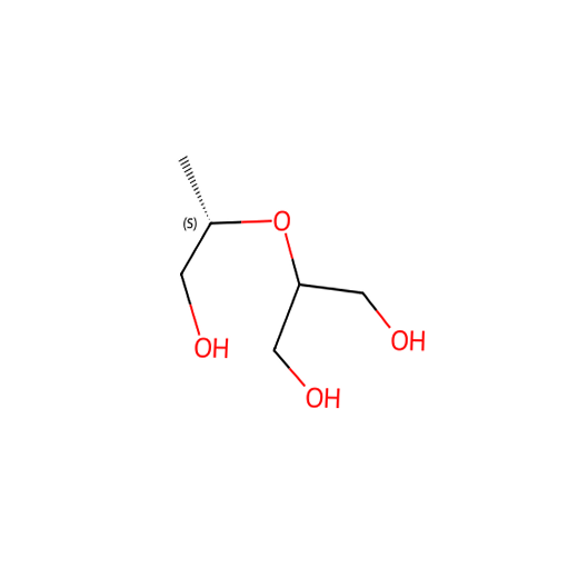 C[C@@H](CO)OC(CO)CO